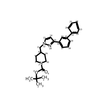 CC(C)(C)OC(=O)N1CCC(Cn2ccc(-c3cccc(-c4ccccc4)c3)n2)CC1